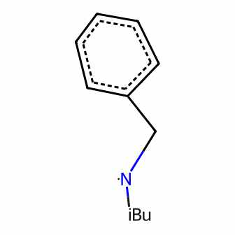 CCC(C)[N]Cc1ccccc1